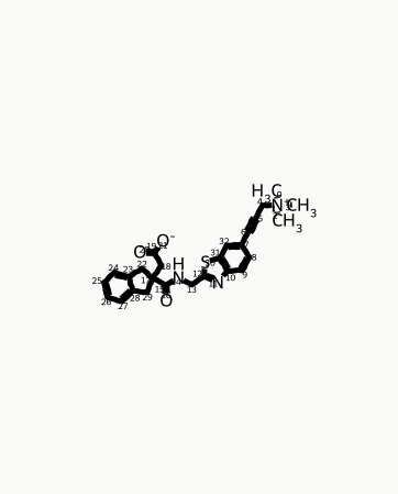 C[N+](C)(C)CC#Cc1ccc2nc(CNC(=O)C3(CC(=O)[O-])Cc4ccccc4C3)sc2c1